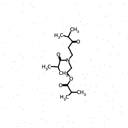 CC(C)C(=O)CCN(CCOC(=O)C(C)C)C(=O)C(C)C